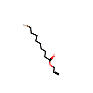 C=CCOC(=O)CCCCCCCCBr